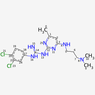 Cc1cc(NCCCN(C)C)nc(NC(=N)Nc2ccc(Cl)c(Cl)c2)n1